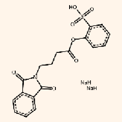 O=C(CCCN1C(=O)c2ccccc2C1=O)Oc1ccccc1S(=O)(=O)O.[NaH].[NaH]